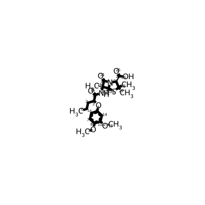 CCCC(Oc1ccc(OC)c(OC)c1)C(=O)N[C@@]1(C)C(=O)N2[C@@H](C(=O)O)C(C)(C)S[C@@H]21